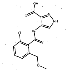 COCc1cccc(Cl)c1C(=O)Nc1c[nH]nc1C(=O)O